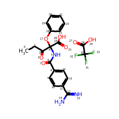 CCC(=O)C(NC(=O)c1ccc(C(=N)N)cc1)(Oc1ccccc1)C(=O)O.O=C(O)C(F)(F)F